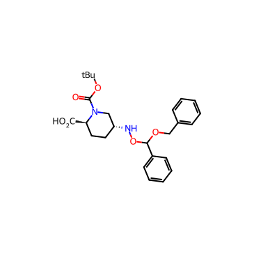 CC(C)(C)OC(=O)N1C[C@H](NOC(OCc2ccccc2)c2ccccc2)CC[C@H]1C(=O)O